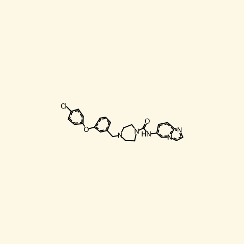 O=C(Nc1ccc2nccn2c1)N1CCN(Cc2cccc(Oc3ccc(Cl)cc3)c2)CC1